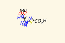 C[C@H](NC(=O)OC(C)(C)C)c1ncnn1-c1ncc(C(=O)O)s1